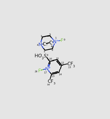 F[N+]12CCN(CC1)CC2.O=S(=O)(O)c1cc(C(F)(F)F)cc(C(F)(F)F)[n+]1F